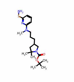 CN(CCCC1CN(C(=O)OC(C)(C)C)C(C)(C)C1)c1cccc(SN)n1